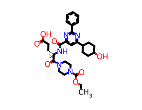 CCOC(=O)N1CCN(C(=O)[C@H](CCC(=O)O)NC(=O)c2cc(C3CCC(O)CC3)nc(-c3ccccc3)n2)CC1